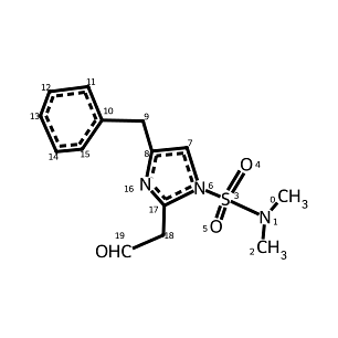 CN(C)S(=O)(=O)n1cc(Cc2ccccc2)nc1CC=O